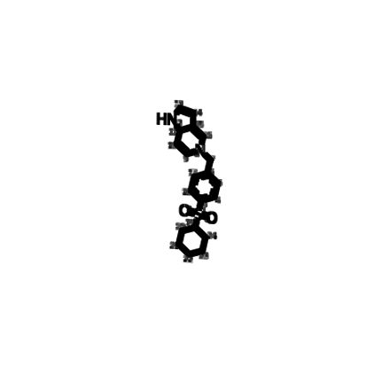 O=S(=O)(c1ccc(CN2C=CC3NC=CC3=C2)cc1)C1CCCCC1